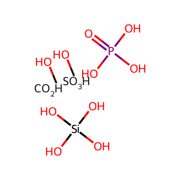 O=C(O)O.O=P(O)(O)O.O=S(=O)(O)O.O[Si](O)(O)O